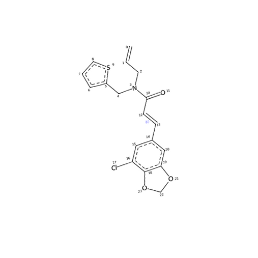 C=CCN(Cc1cccs1)C(=O)/C=C/c1cc(Cl)c2c(c1)OCO2